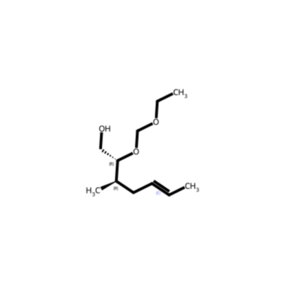 C/C=C/C[C@@H](C)[C@H](CO)OCOCC